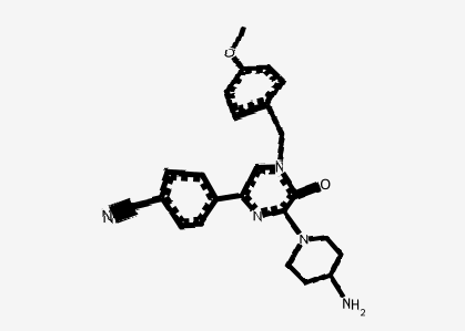 COc1ccc(Cn2cc(-c3ccc(C#N)cc3)nc(N3CCC(N)CC3)c2=O)cc1